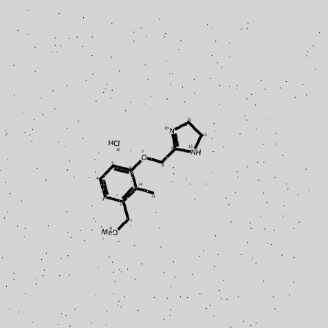 COCc1cccc(OCC2=NCCN2)c1C.Cl